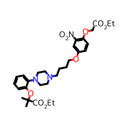 CCOC(=O)COc1ccc(OCCCCN2CCN(c3ccccc3OC(C)(C)C(=O)OCC)CC2)cc1[N+](=O)[O-]